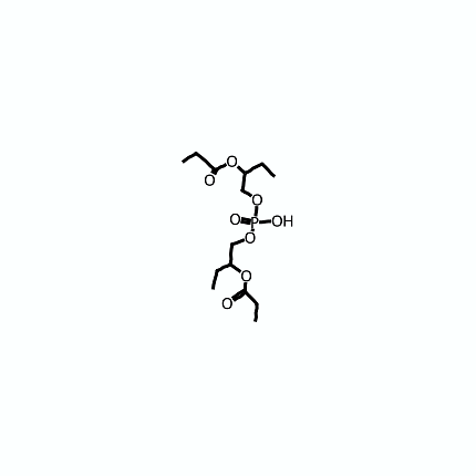 CCC(=O)OC(CC)COP(=O)(O)OCC(CC)OC(=O)CC